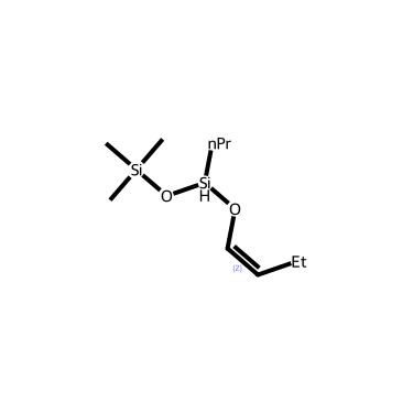 CC/C=C\O[SiH](CCC)O[Si](C)(C)C